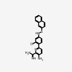 N=C(N)c1nc(-c2ccc(NSc3ccc4ccccc4c3)cc2Cl)ccc1N